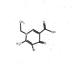 CCn1cc(C(=O)O)c(=O)c(Br)c1C